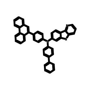 c1ccc(-c2ccc(N(c3ccc(-c4cc5ccccc5c5ccccc45)cc3)c3ccc4c(c3)sc3cccnc34)cc2)cc1